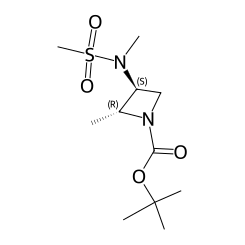 C[C@@H]1[C@@H](N(C)S(C)(=O)=O)CN1C(=O)OC(C)(C)C